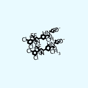 Cc1cc(C2=NOC(c3cc(Cl)cc(Cl)c3)(C(F)(F)F)C2)ccc1C(=O)NC1C[S+]([O-])C1.Cc1cc(C2=NOC(c3cc(Cl)cc(Cl)c3)(C(F)(F)F)C2)ccc1C(=O)NC1C[S+]([O-])C1